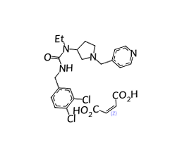 CCN(C(=O)NCc1ccc(Cl)c(Cl)c1)C1CCN(Cc2ccncc2)C1.O=C(O)/C=C\C(=O)O